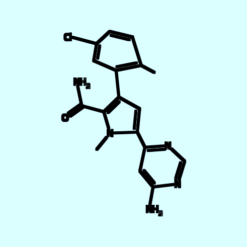 Cc1ccc(Cl)cc1-c1cc(-c2cc(N)ncn2)n(C)c1C(N)=O